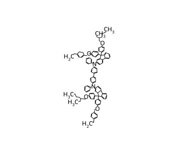 C=CC1=CC=C(COc2ccc(C3(c4ccc(OCC(CC)CCCC)cc4)c4ccccc4-c4ccc(N(c5ccccc5)c5ccc(-c6ccc(N(C7=CC8C(C=C7)c7ccccc7C8(c7ccc(OCc8ccc(C=C)cc8)cc7)c7ccc(OCC(CC)CCCC)cc7)c7ccccc7)cc6)cc5)cc43)cc2)CC1